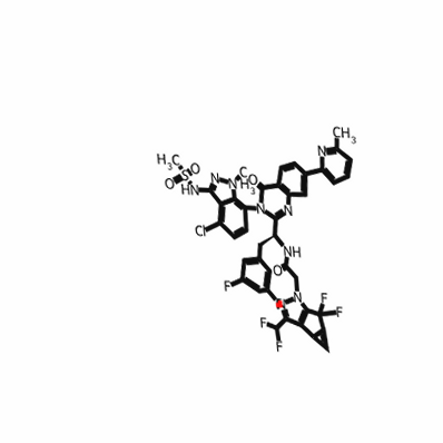 Cc1cccc(-c2ccc3c(=O)n(-c4ccc(Cl)c5c(NS(C)(=O)=O)nn(C)c45)c([C@H](Cc4cc(F)cc(F)c4)NC(=O)Cn4nc(C(F)F)c5c4C(F)(F)C4=CC45)nc3c2)n1